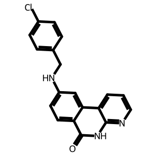 O=c1[nH]c2ncccc2c2cc(NCc3ccc(Cl)cc3)ccc12